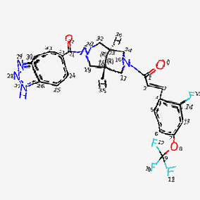 O=C(C=Cc1ccc(OC(F)(F)F)cc1F)N1C[C@@H]2CN(C(=O)c3ccc4[nH]nnc4c3)C[C@H]2C1